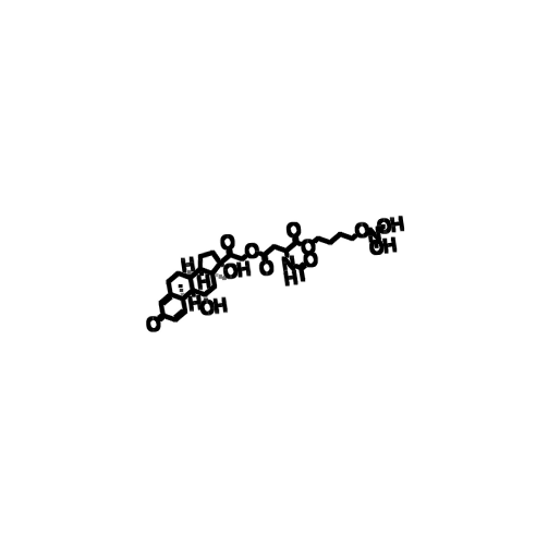 CC(=O)NC(CC(=O)OCC(=O)[C@@]1(O)CC[C@H]2[C@@H]3CCC4=CC(=O)C=C[C@]4(C)[C@H]3[C@@H](O)C[C@@]21C)C(=O)OCCCCON(O)O